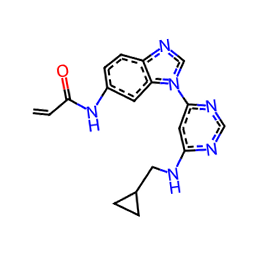 C=CC(=O)Nc1ccc2ncn(-c3cc(NCC4CC4)ncn3)c2c1